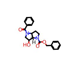 O=C(c1ccccc1)N1CC(O)[C@@H]2C1CCN2C(=O)OCc1ccccc1